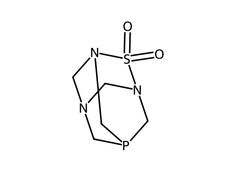 O=S1(=O)N2CN3CN1CP(C3)C2